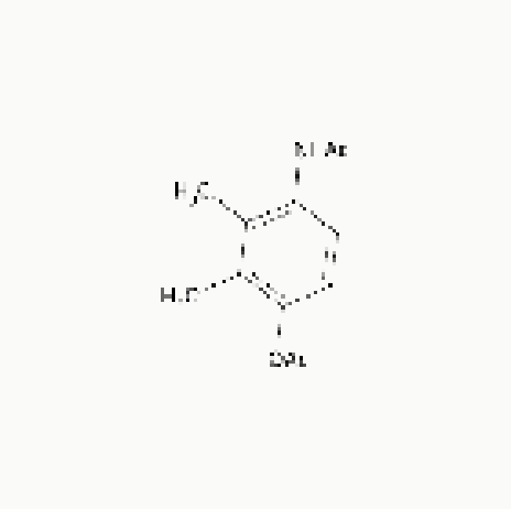 CC(=O)Nc1ccc(OC(C)=O)c(C)c1C